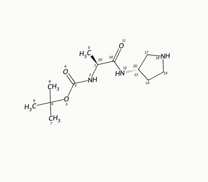 C[C@H](NC(=O)OC(C)(C)C)C(=O)N[C@H]1CCNC1